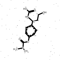 CN(C)C(=O)Oc1ccc([C@H](CCO)NC(=O)O)cc1